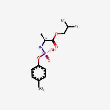 CCC(CC)COC(=O)[C@H](C)N[P@](=O)(O)Oc1ccc([N+](=O)[O-])cc1